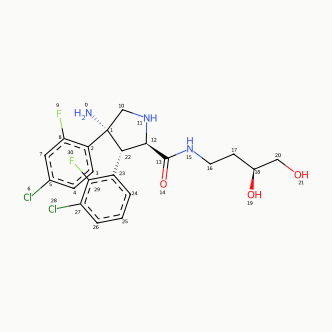 N[C@]1(c2ccc(Cl)cc2F)CN[C@@H](C(=O)NCC[C@H](O)CO)[C@@H]1c1cccc(Cl)c1F